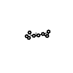 c1ccc(N(c2ccc3c(c2)oc2cc(-c4ccc5c(c4)c4cccc6c7ccccc7n5c64)ccc23)c2cccc3ccccc23)cc1